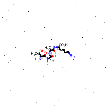 CC(C)[C@H](NC(=O)[C@@H](N)[C@@H](C)O)C(=O)N[C@@H](C)C(=O)N[C@@H](CCCCN)C(=O)O